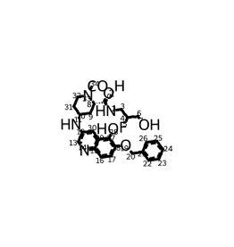 O=C(NCC(F)CO)[C@@H]1C[C@@H](Nc2cnc3ccc(OCc4ccccc4)c(O)c3c2)CCN1C(=O)O